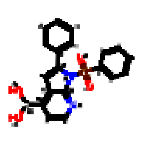 O=S(=O)(c1ccccc1)n1c(-c2ccccc2)cc2c(B(O)O)ccnc21